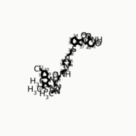 Cc1sc2c(c1C)C(c1ccc(Cl)cc1)=N[C@@H](CC(=O)NCCN1CCN(CCCSc3cccc4c3CN(C3CCC(=O)NC3=O)C4=O)CC1)c1nnc(C)n1-2